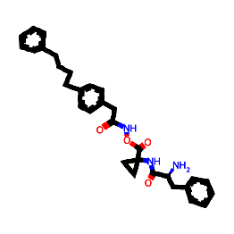 N[C@@H](Cc1ccccc1)C(=O)NC1(C(=O)ONC(=O)Cc2ccc(CCCCc3ccccc3)cc2)CC1